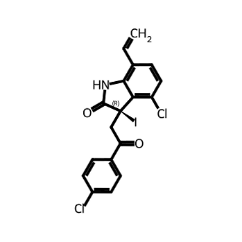 C=Cc1ccc(Cl)c2c1NC(=O)[C@@]2(I)CC(=O)c1ccc(Cl)cc1